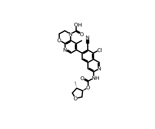 Cc1c(-c2cc3cc(NC(=O)O[C@H]4COC[C@@H]4C)ncc3c(Cl)c2C#N)cnc2c1N(C(=O)O)CCO2